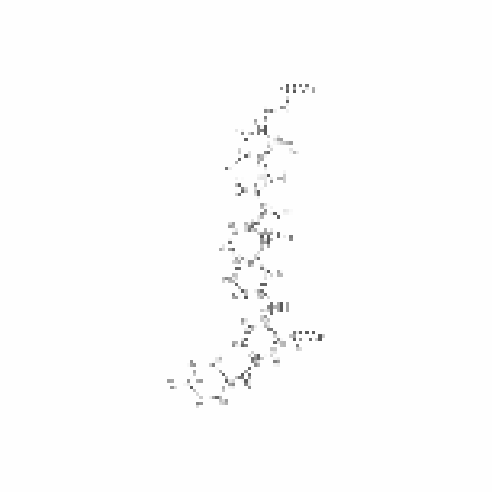 COCCn1nc(C)c(NC(=O)c2ccn3c2ccc2cnc(Nc4ccc(OC5CCN(C)CC5)cc4OC)nc23)c1C